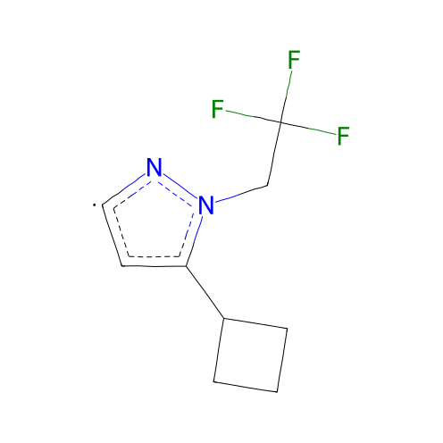 FC(F)(F)Cn1n[c]cc1C1CCC1